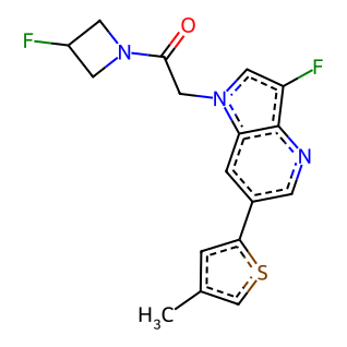 Cc1csc(-c2cnc3c(F)cn(CC(=O)N4CC(F)C4)c3c2)c1